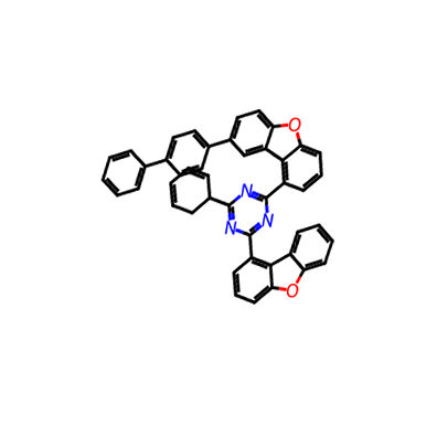 C1=CCC(c2nc(-c3cccc4oc5ccccc5c34)nc(-c3cccc4oc5ccc(-c6ccc(-c7ccccc7)cc6)cc5c34)n2)C=C1